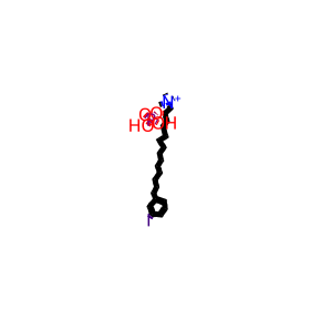 C[N+](C)(C)CC(CCCCCCCCCCCCc1cccc(I)c1)OP(=O)(O)O